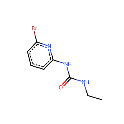 CCNC(=O)Nc1cccc(Br)n1